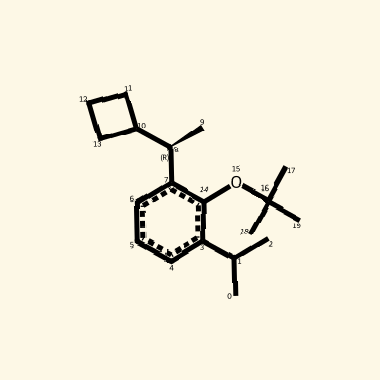 CC(C)c1cccc([C@H](C)C2CCC2)c1OC(C)(C)C